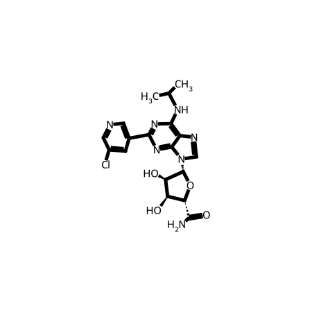 CC(C)Nc1nc(-c2cncc(Cl)c2)nc2c1ncn2[C@@H]1O[C@H](C(N)=O)[C@@H](O)[C@H]1O